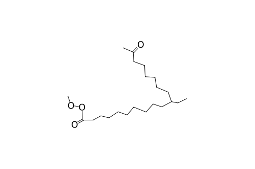 CCC(CCCCCCCCCC(=O)OOC)CCCCCCC(C)=O